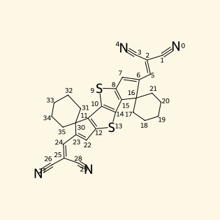 N#CC(C#N)=CC1=Cc2sc3c4c(sc3c2C12CCCCC2)C=C(C=C(C#N)C#N)C41CCCCC1